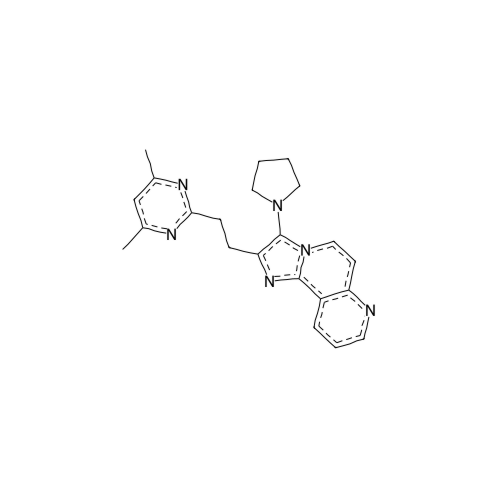 Cc1cc(C)nc(CCc2nc3c4cccnc4ccn3c2N2CCCC2)n1